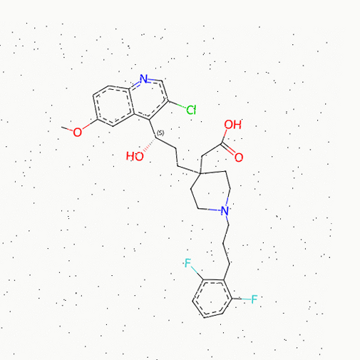 COc1ccc2ncc(Cl)c([C@@H](O)CCC3(CC(=O)O)CCN(CCCc4c(F)cccc4F)CC3)c2c1